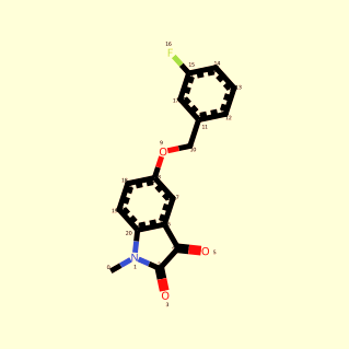 CN1C(=O)C(=O)c2cc(OCc3cccc(F)c3)ccc21